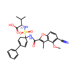 COc1c(C#N)ccc2oc(C(=O)NC3(S(=O)(=O)N[C@H](C(=O)O)C(C)C)C=CC(c4ccccc4)=CC3)c(C)c12